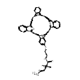 CCCCCCCCCCSCC(C)(C)C(=O)OCCOc1ccc2c3cc4nc(cc5[nH]c(cc6nc(cc([nH]3)c2c1)-c1ccccc1-6)c1ccccc51)-c1ccccc1-4